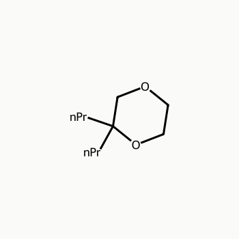 CCCC1(CCC)COCCO1